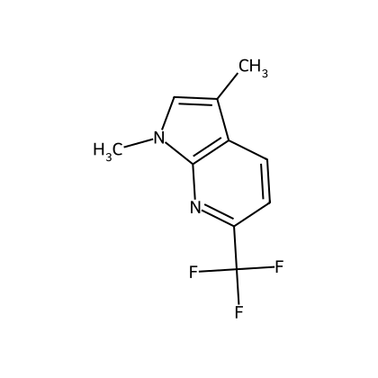 Cc1cn(C)c2nc(C(F)(F)F)ccc12